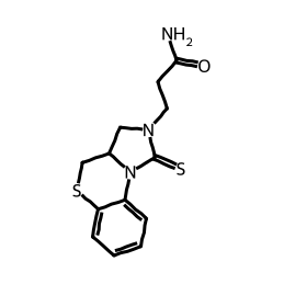 NC(=O)CCN1CC2CSc3ccccc3N2C1=S